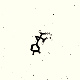 Cc1ccc(C2CC2(C(N)=O)C(N)=O)cc1C